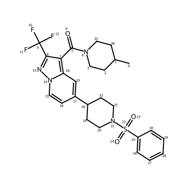 CC1CCN(C(=O)c2c(C(F)(F)F)nn3ccc(C4CCN(S(=O)(=O)c5ccccc5)CC4)cc23)CC1